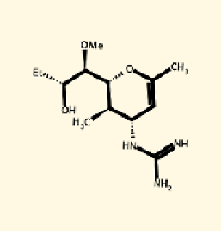 CC[C@@H](O)[C@@H](OC)[C@@H]1OC(C)=C[C@H](NC(=N)N)[C@H]1C